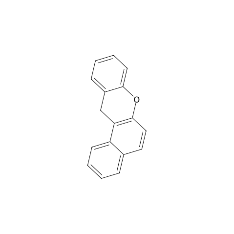 c1ccc2c(c1)Cc1c(ccc3ccccc13)O2